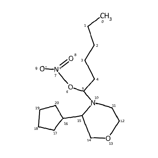 CCCCCC(O[N+](=O)[O-])N1CCOCC1C1CCCC1